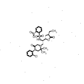 CC[C@@H]1C[C@@H]([C@H](CN2CC(=O)N(c3ccccc3Cl)CC2(C)C)NS(=O)(=O)c2ccccc2[N+](=O)[O-])OC1=O